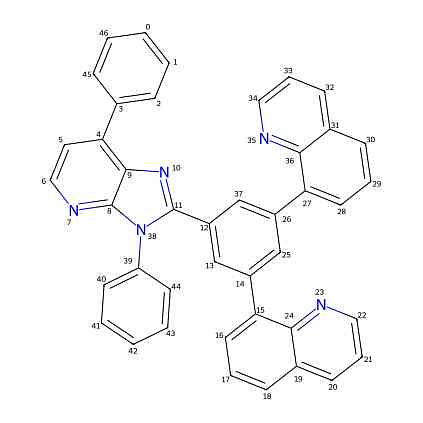 c1ccc(-c2ccnc3c2nc(-c2cc(-c4cccc5cccnc45)cc(-c4cccc5cccnc45)c2)n3-c2ccccc2)cc1